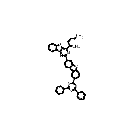 C=C/C=C\C(=C)c1nc(-c2ccc3c(c2)oc2ccc(-c4nc(-c5ccccc5)nc(-c5ccccc5)n4)cc23)nc2c1sc1ccccc12